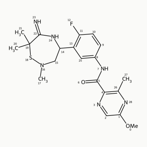 COc1cnc(C(=O)Nc2ccc(F)c(C3CN(C)SC(C)(C)C(=N)N3)c2)c(C)n1